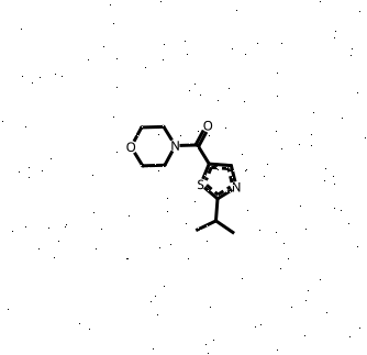 CC(C)c1ncc(C(=O)N2CCOCC2)s1